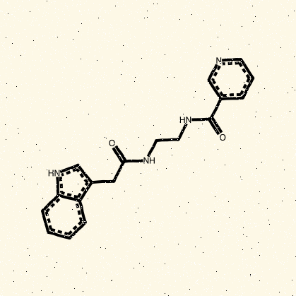 O=C(Cc1c[nH]c2ccccc12)NCCNC(=O)c1cccnc1